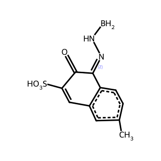 BN/N=C1\C(=O)C(S(=O)(=O)O)=Cc2cc(C)ccc21